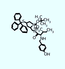 CC[C@H](C)[C@H](NCc1ccc(O)cc1)C(=O)NCC1CC(SC(c2ccccc2)(c2ccccc2)c2ccccc2)CN1C(=O)OC(C)(C)C